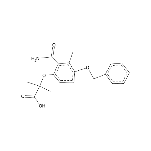 Cc1c(OCc2ccccc2)ccc(OC(C)(C)C(=O)O)c1C(N)=O